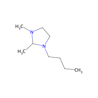 CCCCN1CCN(C)C1C